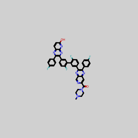 CN1CCN(C(=O)c2cc3nc(-c4ccc(F)cc4)c(-c4ccc(F)c(-c5cc(-c6nc7nc(O)ccc7nc6-c6ccc(F)cc6)ccc5F)c4)nc3cn2)CC1